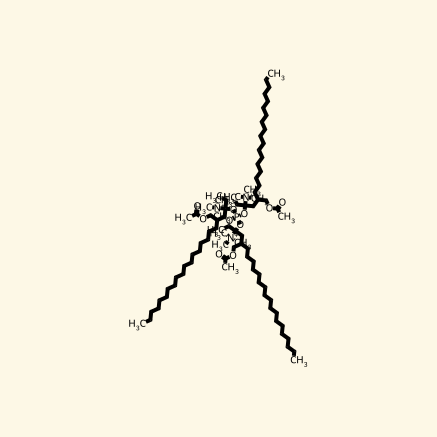 CCCCCCCCCCCCCCCCCCC(COC(C)=O)CC(CC)(OP(=O)(OC(CC)(CC(CCCCCCCCCCCCCCCCCC)COC(C)=O)[N+](C)(C)C)OC(CC)(CC(CCCCCCCCCCCCCCCCCC)COC(C)=O)[N+](C)(C)C)[N+](C)(C)C